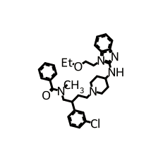 CCOCCn1c(NC2CCN(CCC(CN(C)C(=O)c3ccccc3)c3cccc(Cl)c3)CC2)nc2ccccc21